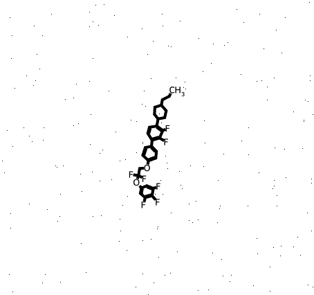 CCCC1CCC(c2ccc(-c3ccc(OCC(F)(F)Oc4cc(F)c(F)c(F)c4)cc3)c(F)c2F)CC1